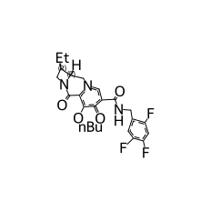 CCCCOc1c2n(cc(C(=O)NCc3cc(F)c(F)cc3F)c1=O)C[C@H]1[C@H](CC)CN1C2=O